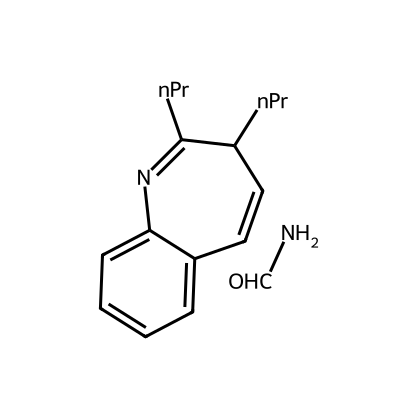 CCCC1=Nc2ccccc2C=CC1CCC.NC=O